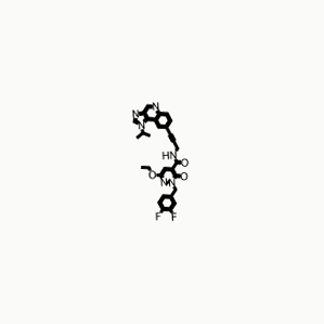 CCOc1cc(C(=O)NCC#Cc2ccc3ncc4ncn(C(C)C)c4c3c2)c(=O)n(Cc2ccc(F)c(F)c2)n1